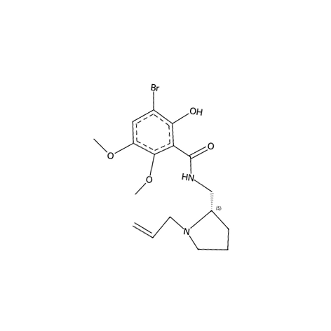 C=CCN1CCC[C@H]1CNC(=O)c1c(O)c(Br)cc(OC)c1OC